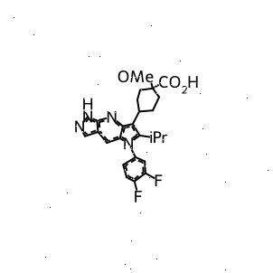 COC1(C(=O)O)CCC(c2c(C(C)C)n(-c3ccc(F)c(F)c3)c3cc4cn[nH]c4nc23)CC1